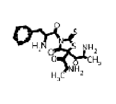 CC(N)C(=O)C1(C(=O)C(C)N)SC(=S)N(C(=O)C(N)Cc2ccccc2)C1=O